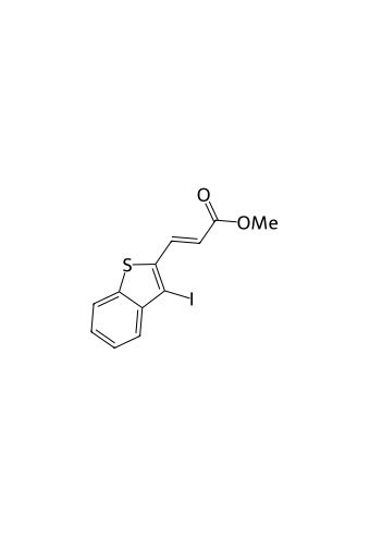 COC(=O)/C=C/c1sc2ccccc2c1I